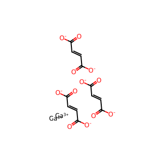 O=C([O-])C=CC(=O)[O-].O=C([O-])C=CC(=O)[O-].O=C([O-])C=CC(=O)[O-].[Ga+3].[Ga+3]